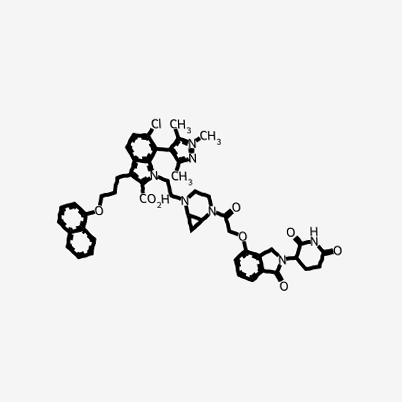 Cc1nn(C)c(C)c1-c1c(Cl)ccc2c(CCCOc3cccc4ccccc34)c(C(=O)O)n(CCN3CCN(C(=O)COc4cccc5c4CN(C4CCC(=O)NC4=O)C5=O)C4CC43)c12